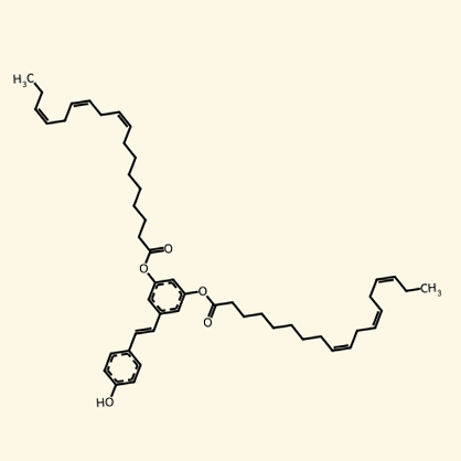 CC/C=C\C/C=C\C/C=C\CCCCCCCC(=O)Oc1cc(C=Cc2ccc(O)cc2)cc(OC(=O)CCCCCCC/C=C\C/C=C\C/C=C\CC)c1